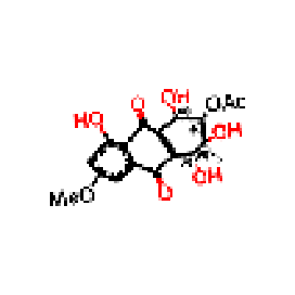 COc1cc(O)c2c(c1)C(=O)C1=C(C2=O)[C@@H](O)[C@@H](OC(C)=O)[C@@](C)(O)[C@@H]1O